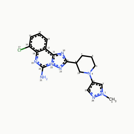 Cn1cc(N2CCCC(c3nc4c5cccc(Cl)c5nc(N)n4n3)C2)cn1